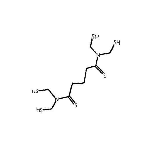 S=C(CCCC(=S)N(CS)CS)N(CS)CS